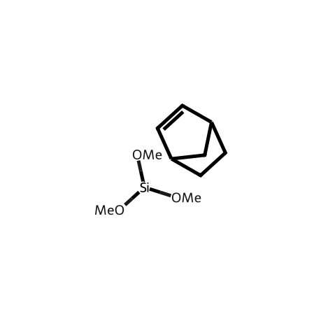 C1=CC2CCC1C2.CO[Si](OC)OC